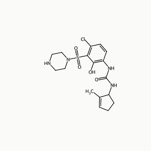 CC1=CCCC1NC(=O)Nc1ccc(Cl)c(S(=O)(=O)N2CCNCC2)c1O